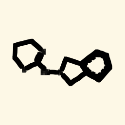 c1ccc2c(c1)CN(NC1=NCCCS1)C2